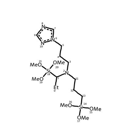 CCC(N(CCCn1cncn1)CCC[Si](OC)(OC)OC)[Si](OC)(OC)OC